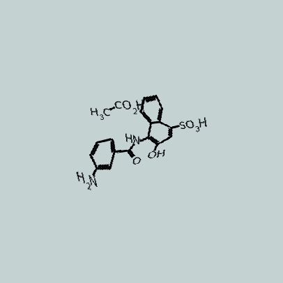 CC(=O)O.Nc1cccc(C(=O)Nc2c(O)cc(S(=O)(=O)O)c3ccccc23)c1